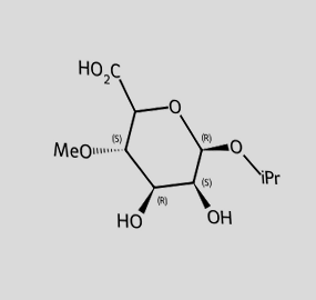 CO[C@@H]1C(C(=O)O)O[C@@H](OC(C)C)[C@@H](O)[C@H]1O